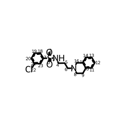 O=S(=O)(NCCCN1CCc2ccccc2C1)c1cccc(Cl)c1